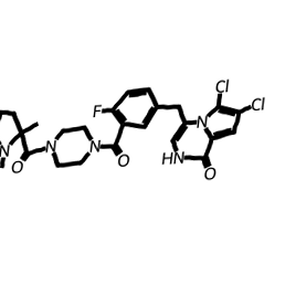 CN1CCCC1(C)C(=O)N1CCN(C(=O)c2cc(Cc3c[nH]c(=O)c4cc(Cl)c(Cl)n34)ccc2F)CC1